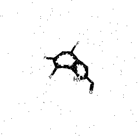 O=Cc1cc2c(F)cc(F)c(F)c2[nH]1